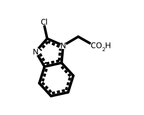 O=C(O)Cn1c(Cl)nc2ccccc21